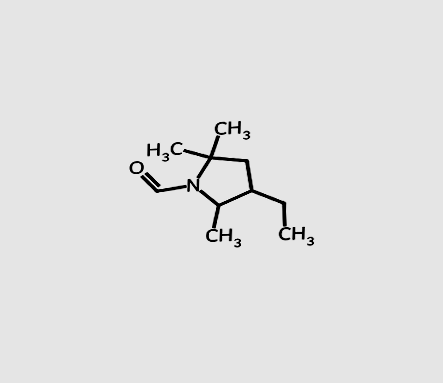 CCC1CC(C)(C)N(C=O)C1C